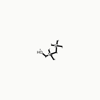 C[Si](C)(C)C[Si](C)(C)CO